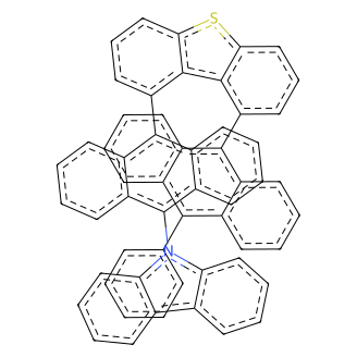 c1ccc(-c2c3ccccc3c(-c3cccc4sc5cccc(-c6c7ccccc7c(-n7c8ccccc8c8ccccc87)c7ccccc67)c5c34)c3ccccc23)cc1